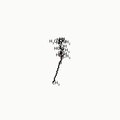 CCCCCCCCCCCCCCCCOCCCOC(=O)[C@H](C)NP(=O)(O)OC[C@@H](OC)[C@@H](O)[C@@H](O)Cn1cc(C(N)=O)c2c(N)nc(C)nc21